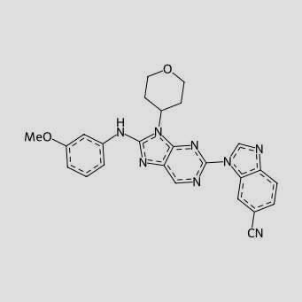 COc1cccc(Nc2nc3cnc(-n4cnc5ccc(C#N)cc54)nc3n2C2CCOCC2)c1